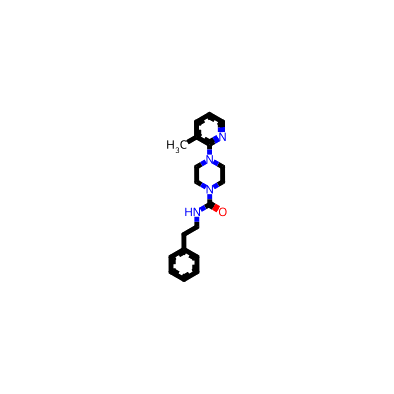 Cc1cccnc1N1CCN(C(=O)NCCc2ccccc2)CC1